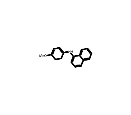 COC1=CC=C(Nc2cccc3ccccc23)CC1